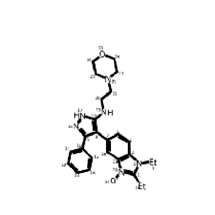 CCc1n(CC)c2ccc(-c3c(-c4ccccc4)n[nH]c3NCCN3CCOCC3)cc2[n+]1[O-]